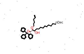 C=CCCCCO[C@@H](COC(c1ccccc1)(c1ccccc1)c1ccccc1)C(O)CCCCCCCCCCCCCCCCCCCC